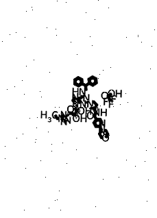 CCn1nnc([C@H]2O[C@@H](n3cnc4c(NCC(c5ccccc5)c5ccccc5)nc(N5CC[C@@H](NC(=O)c6ccc(N7CCOCC7)nc6)C5)nc43)[C@H](O)[C@@H]2O)n1.O=C(O)C(F)(F)F